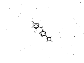 Cn1nc(I)c(Cc2cc(C3CCC3)no2)n1